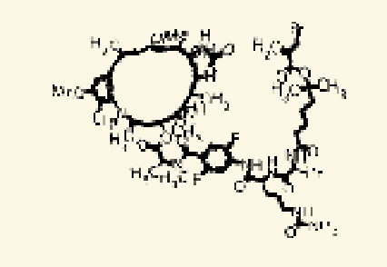 C=C(CBr)C(=O)OC(C)(C)CCCCC(=O)N[C@H](C(=O)N[C@@H](CCCNC(N)=O)C(=O)Nc1cc(F)c(C(=O)N(C)[C@@H](C)C(=O)O[C@H]2CC(=O)N(C)c3cc(cc(OC)c3Cl)C/C(C)=C/C=C/[C@@H](OC)[C@@]3(O)C[C@H](OC(=O)N3)[C@@H](C)[C@@H]3O[C@@]23C)cc1F)C(C)C